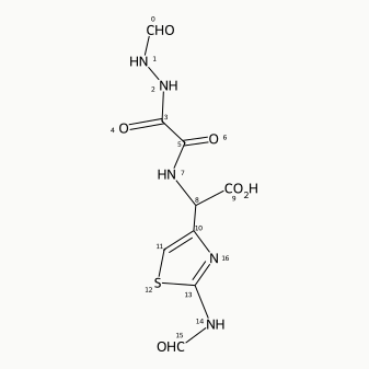 O=CNNC(=O)C(=O)NC(C(=O)O)c1csc(NC=O)n1